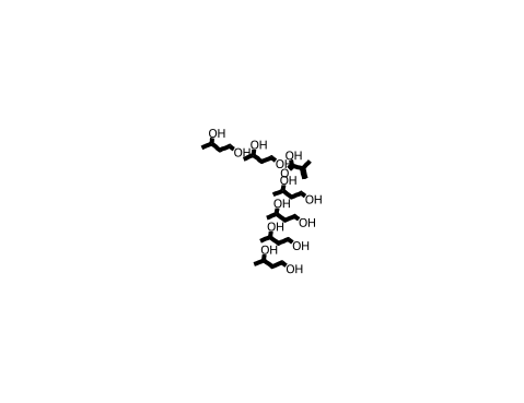 C=C(C)C(=O)O.CC(O)CCO.CC(O)CCO.CC(O)CCO.CC(O)CCO.CC(O)CCO.CC(O)CCO